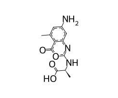 Cc1cc(N)cc2nc(N[C@@H](C)C(=O)O)oc(=O)c12